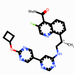 CNC(=O)c1c(F)cnc2c([C@H](C)CNc3cc(-c4cnc(OC5CCC5)nc4)ncn3)cccc12